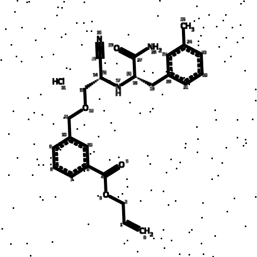 C=CCOC(=O)c1cccc(COC[C@H](C#N)N[C@@H](Cc2cccc(C)c2)C(N)=O)c1.Cl